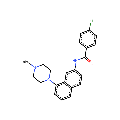 CCCN1CCN(c2cccc3ccc(NC(=O)c4ccc(Cl)cc4)cc23)CC1